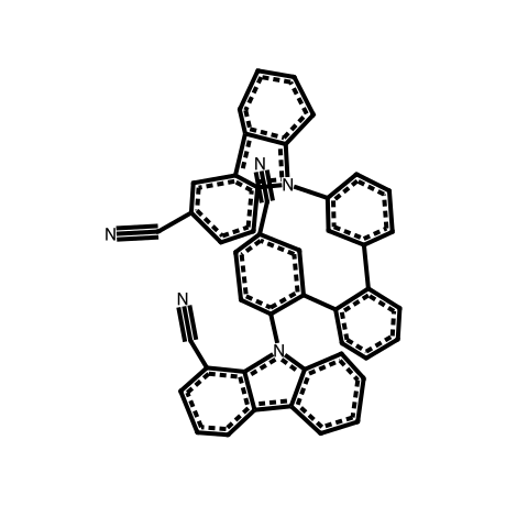 N#Cc1ccc(-n2c3ccccc3c3cccc(C#N)c32)c(-c2ccccc2-c2cccc(-n3c4ccccc4c4cc(C#N)ccc43)c2)c1